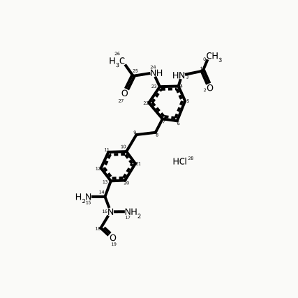 CC(=O)Nc1ccc(CCc2ccc(C(N)N(N)C=O)cc2)cc1NC(C)=O.Cl